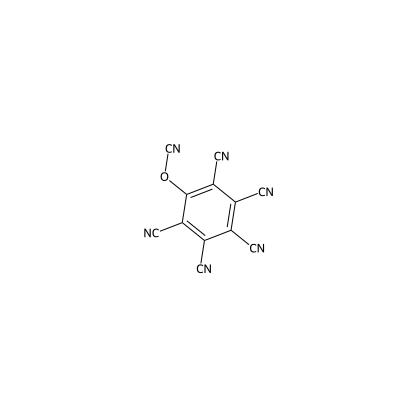 N#COc1c(C#N)c(C#N)c(C#N)c(C#N)c1C#N